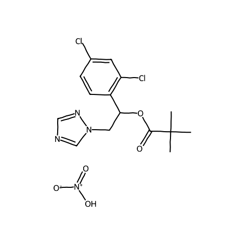 CC(C)(C)C(=O)OC(Cn1cncn1)c1ccc(Cl)cc1Cl.O=[N+]([O-])O